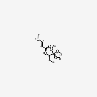 CCC(OC(=O)C=COC)[Si](OC)(OC)OC